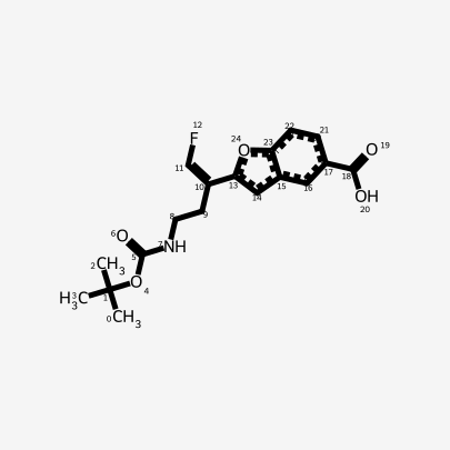 CC(C)(C)OC(=O)NCC/C(=C/F)c1cc2cc(C(=O)O)ccc2o1